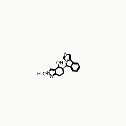 Cn1cc2c(n1)CC[C@H](C1c3ccccc3-c3cncn31)[C@@H]2O